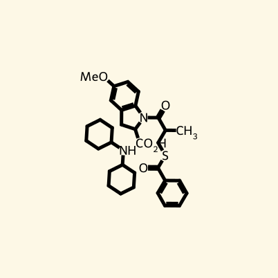 C1CCC(NC2CCCCC2)CC1.COc1ccc2c(c1)CC(C(=O)O)N2C(=O)C(C)CSC(=O)c1ccccc1